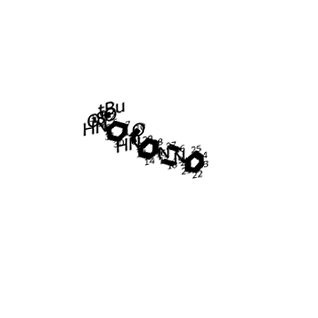 CC(C)(C)S(=O)(=O)N[C@H]1CC[C@H](C(=O)Nc2ccc(N3CCN(c4ccccc4)CC3)cc2)CC1